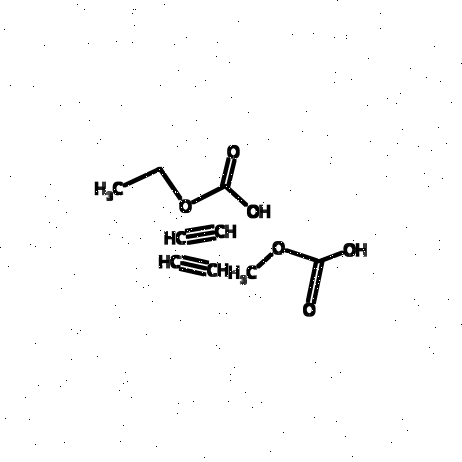 C#C.C#C.CCOC(=O)O.COC(=O)O